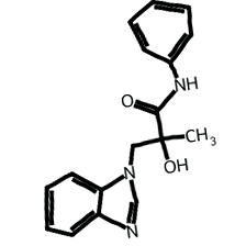 CC(O)(Cn1cnc2ccccc21)C(=O)Nc1ccccc1